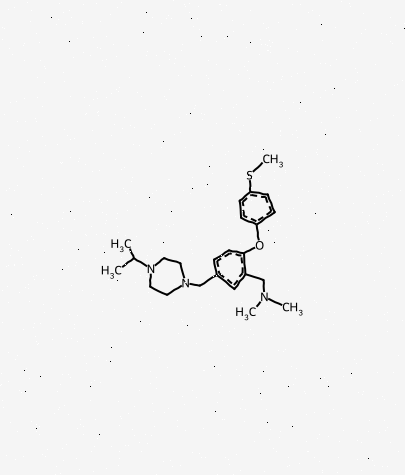 CSc1ccc(Oc2ccc(CN3CCN(C(C)C)CC3)cc2CN(C)C)cc1